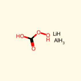 O=C(O)OO.[AlH3].[LiH]